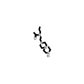 CCCN(CCN1CC[N+]2(CCNCC2)CC1)C(C)=O